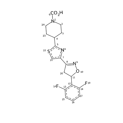 O=C(O)N1CCC(c2nc(C3=NOC(c4c(F)cccc4F)C3)cs2)CC1